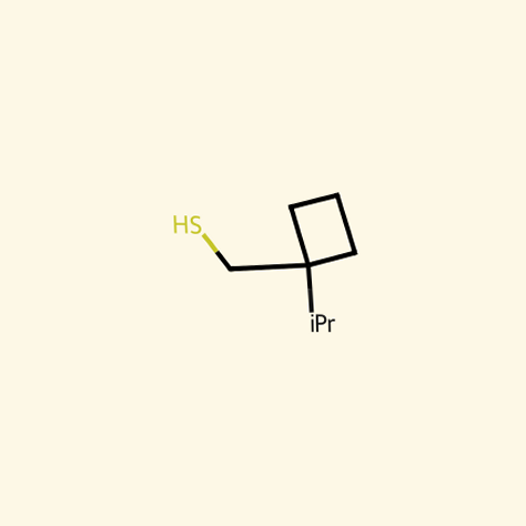 CC(C)C1(CS)CCC1